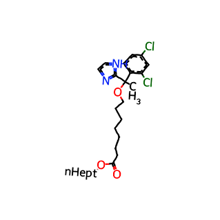 CCCCCCCOC(=O)CCCCCCCOC(C)(c1ncc[nH]1)c1ccc(Cl)cc1Cl